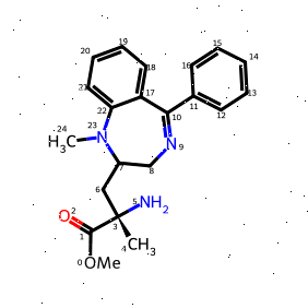 COC(=O)[C@@](C)(N)CC1CN=C(c2ccccc2)c2ccccc2N1C